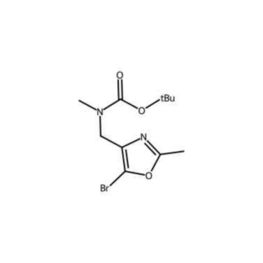 Cc1nc(CN(C)C(=O)OC(C)(C)C)c(Br)o1